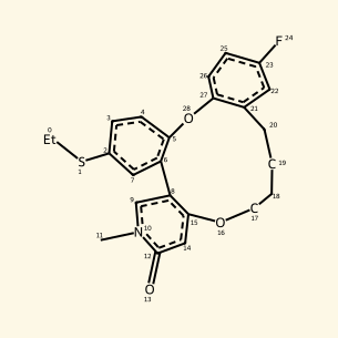 CCSc1ccc2c(c1)-c1cn(C)c(=O)cc1OCCCCc1cc(F)ccc1O2